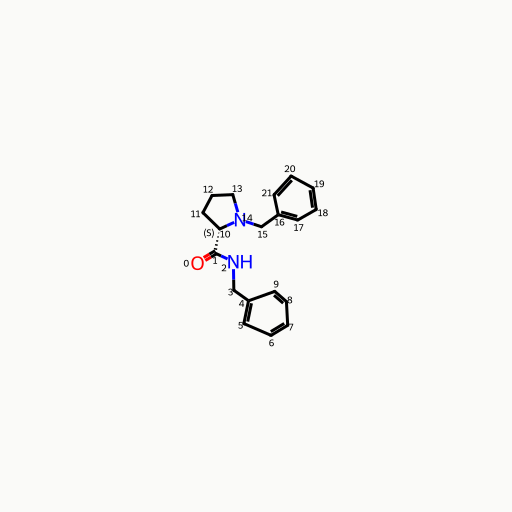 O=C(NCc1ccccc1)[C@@H]1CCCN1Cc1ccccc1